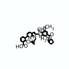 COc1cc(C(=O)N2CC3CCC2C3N)cc2nc(-c3cc4ccc(-c5cccc(C(=O)O)c5C)nc4n3CC3CC3)n(C)c12